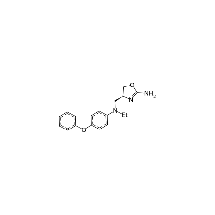 CCN(C[C@H]1COC(N)=N1)c1ccc(Oc2ccccc2)cc1